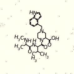 CNC(C)C(=O)NC(C(=O)N1CCN(Cc2cccc3[nH]ccc23)CC1C(=O)O)C(C)C